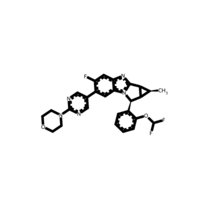 C[C@@H]1C2c3nc4cc(F)c(-c5cnc(N6CCOCC6)nc5)cc4n3[C@H](c3ccccc3OC(F)F)C21